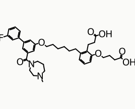 CN1CCCN(C(=O)c2cc(OCCCCCCc3cccc(OCCCC(=O)O)c3CCC(=O)O)cc(-c3cccc(F)c3)c2)CC1